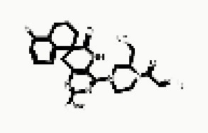 C=CC(=O)N1CCN(c2nc(OC)nc3c2NC(=O)C2(CCCc4c(F)cccc42)C3)CC1CC#N